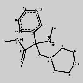 CNC(=S)C(CN1CCOCC1)(c1cnccn1)N(C)C